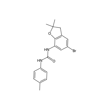 Cc1ccc(NC(=O)Nc2cc(Br)cc3c2OC(C)(C)C3)cc1